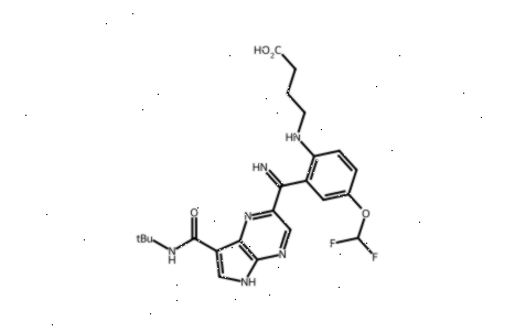 CC(C)(C)NC(=O)c1c[nH]c2ncc(C(=N)c3cc(OC(F)F)ccc3NCCCC(=O)O)nc12